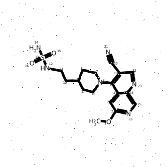 COc1cc2c(N3CCC(CCNS(N)(=O)=O)CC3)c(C#N)cnc2cn1